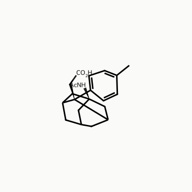 CC(=O)N[C@]12CC3CC(C1)[C@@](CC(=O)O)(c1ccc(C)cc1)C(C3)C2